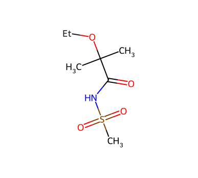 CCOC(C)(C)C(=O)NS(C)(=O)=O